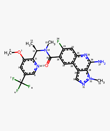 COc1cc(C(F)(F)F)cnc1[C@@H](C)N(C)C(=O)c1cc2c(cc1F)nc(N)c1c2cnn1C